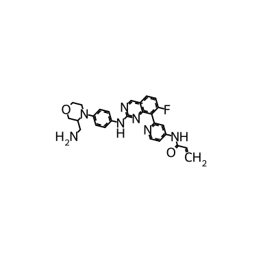 C=CC(=O)Nc1ccnc(-c2c(F)ccc3cnc(Nc4ccc(N5CCOCC5CN)cc4)nc23)c1